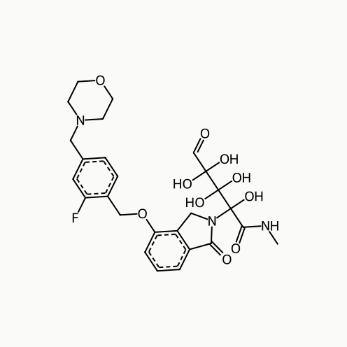 CNC(=O)C(O)(N1Cc2c(OCc3ccc(CN4CCOCC4)cc3F)cccc2C1=O)C(O)(O)C(O)(O)C=O